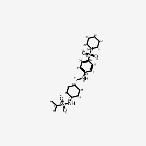 CC(C)S(=O)(=O)N[C@H]1CC[C@H](CNc2ccc(S(=O)(=O)N3CCCCC3)cc2)CC1